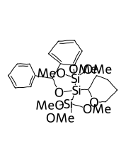 CO[Si](OC)(OC)[Si](OC(c1ccccc1)c1ccccc1)(C1CCCCO1)[Si](OC)(OC)OC